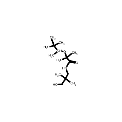 C[SiH](OC(C)(C)C(=O)NCC(C)(C)CO)C(C)(C)C